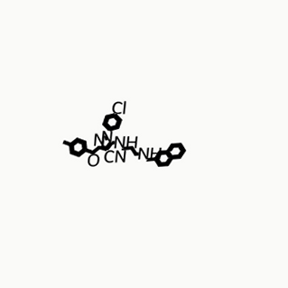 Cc1ccc(C(=O)c2nn(-c3ccc(Cl)cc3)c(NCCCNCc3ccc4ccccc4c3)c2C#N)cc1